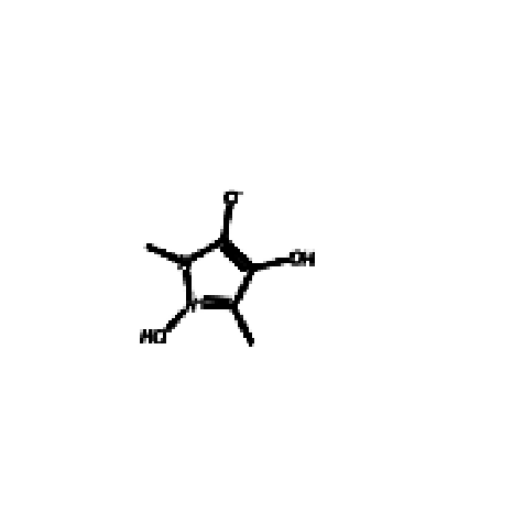 Cc1c(O)c([O-])n(C)[n+]1O